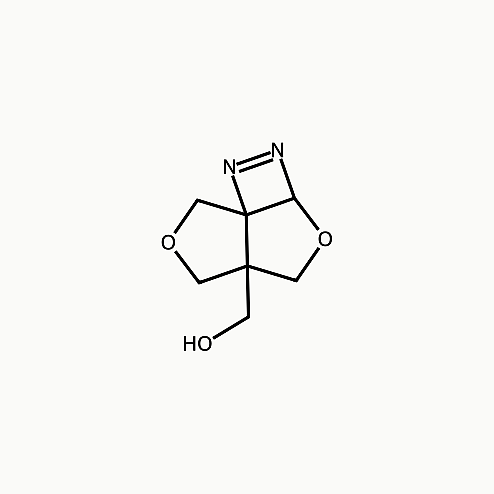 OCC12COCC13N=NC3OC2